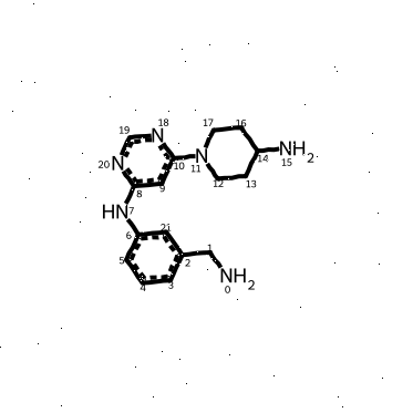 NCc1cccc(Nc2cc(N3CCC(N)CC3)ncn2)c1